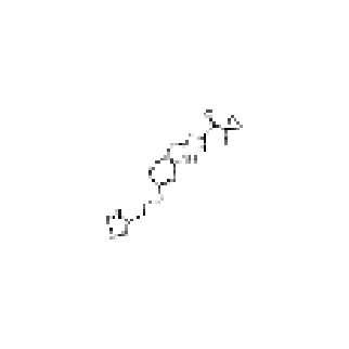 CC1(C(=O)NCc2cc3ccc(OCCc4cscn4)cc3[nH]2)CC1